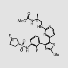 COC(=O)N[C@@H](C)CNc1nccc(-c2sc(C(C)(C)C)nc2-c2cccc(NS(=O)(=O)N3CC[C@@H](F)C3)c2F)n1